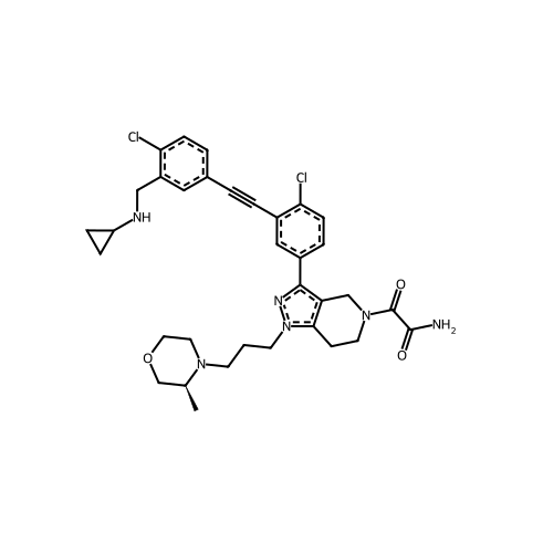 C[C@H]1COCCN1CCCn1nc(-c2ccc(Cl)c(C#Cc3ccc(Cl)c(CNC4CC4)c3)c2)c2c1CCN(C(=O)C(N)=O)C2